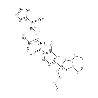 CCC[CH2][Sn]([CH2]CCC)([CH2]CCC)[c]1ccc(C(=O)N[C@@H](CNC(=O)c2cccs2)C(=O)O)c(Cl)c1